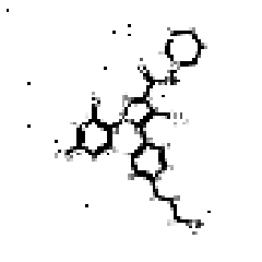 Cc1c(C(=O)NN2CCCCC2)nn(-c2ccc(Cl)cc2Cl)c1-c1ccc(CCCO)cc1